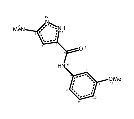 CNc1cc(C(=O)Nc2cccc(OC)c2)[nH]n1